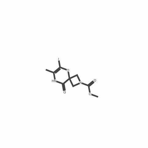 COC(=O)N1CC2(C1)OC(I)=C(C)NC2=O